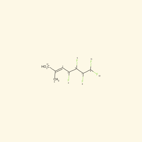 CC(=CC(F)C(F)C(F)C(F)F)C(=O)O